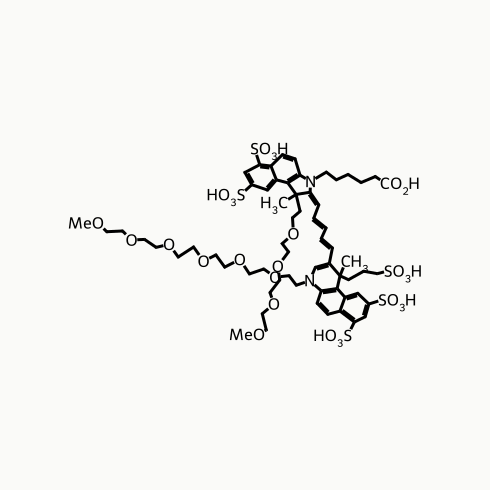 COCCOCCOCCOCCOCCOCCN1C=C(/C=C/C=C/C=C2/N(CCCCCC(=O)O)c3ccc4c(S(=O)(=O)O)cc(S(=O)(=O)O)cc4c3C2(C)CCOCCOCCOCCOC)C(C)(CCCS(=O)(=O)O)c2c1ccc1c(S(=O)(=O)O)cc(S(=O)(=O)O)cc21